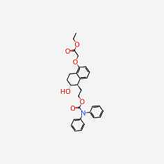 CCOC(=O)COc1cccc2c1CC[C@@H](O)[C@@H]2CCOC(=O)N(c1ccccc1)c1ccccc1